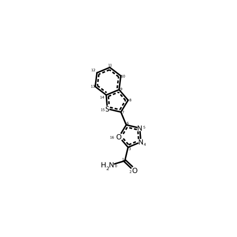 NC(=O)c1nnc(-c2cc3ccccc3s2)o1